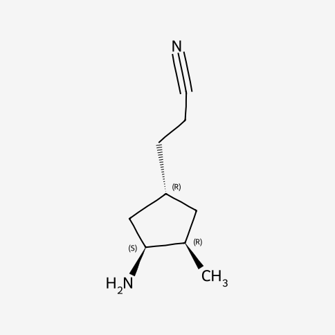 C[C@@H]1C[C@@H](CCC#N)C[C@@H]1N